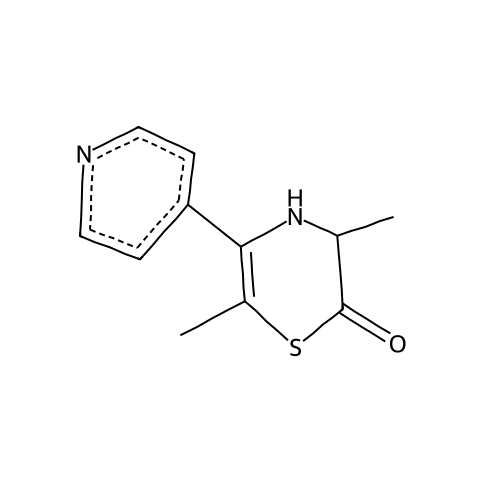 CC1=C(c2ccncc2)NC(C)C(=O)S1